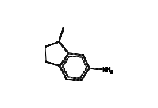 CC1CCc2ccc(N)cc21